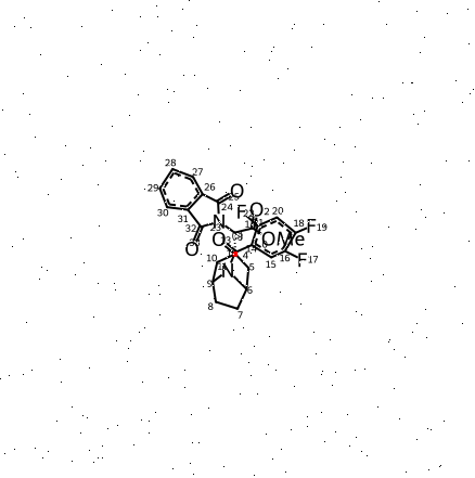 COC(=O)[C@H](C1CC2CCC(C1)N2C(=O)c1cc(F)c(F)cc1F)N1C(=O)c2ccccc2C1=O